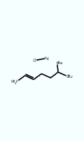 CC(C)(C)C(CCC=CP)C(C)(C)C.[Cl][Pd]